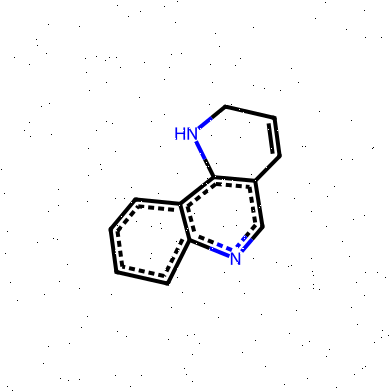 C1=Cc2cnc3ccccc3c2NC1